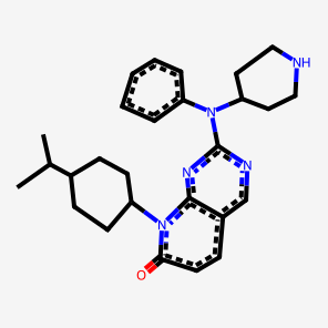 CC(C)C1CCC(n2c(=O)ccc3cnc(N(c4ccccc4)C4CCNCC4)nc32)CC1